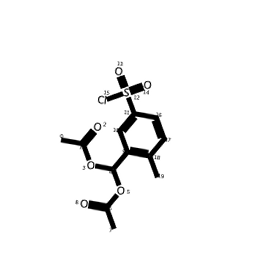 CC(=O)OC(OC(C)=O)c1cc(S(=O)(=O)Cl)ccc1C